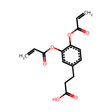 C=CC(=O)Oc1ccc(CCC(=O)O)cc1OC(=O)C=C